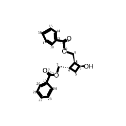 O=C(OC[C@H]1C[C@H](O)[C@@H]1COC(=O)c1ccccc1)c1ccccc1